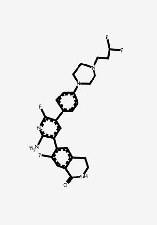 Nc1nc(F)c(-c2ccc(N3CCN(CCC(F)F)CC3)cc2)cc1-c1cc2c(cc1F)C(=O)NCC2